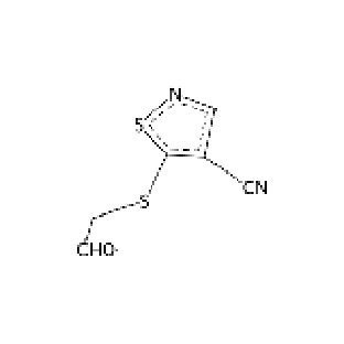 N#Cc1cnsc1SC[C]=O